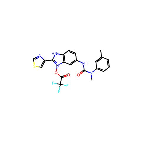 Cc1cccc(N(C)C(=O)Nc2ccc3[nH]c(-c4cscn4)[n+](OC(=O)C(F)(F)F)c3c2)c1